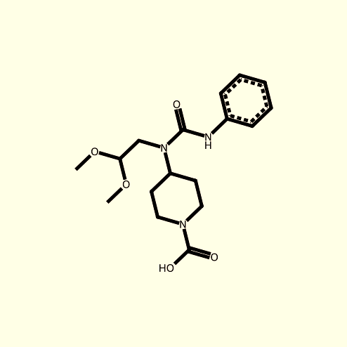 COC(CN(C(=O)Nc1ccccc1)C1CCN(C(=O)O)CC1)OC